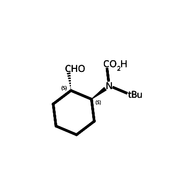 CC(C)(C)N(C(=O)O)[C@H]1CCCC[C@@H]1C=O